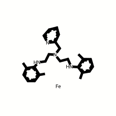 Cc1cccc(C)c1NCCN(CCNc1c(C)cccc1C)Cc1ccccn1.[Fe]